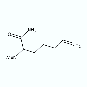 C=CCCCC(NC)C(N)=O